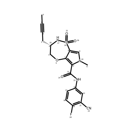 CC#CC[C@H]1COc2c(cn(C)c2C(=O)Nc2ccc(F)c(C#N)c2)S(=O)(=O)N1